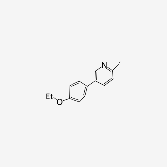 CCOc1ccc(-c2ccc(C)nc2)cc1